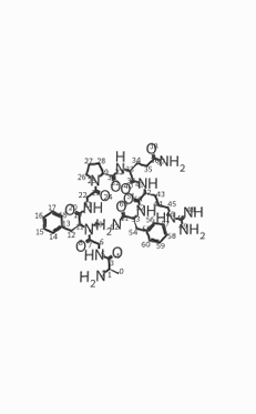 C[C@@H](N)C(=O)NCC(=O)N(C)[C@@H](Cc1ccccc1)C(=O)NCC(=O)N1CCC[C@H]1C(=O)N[C@@H](CCC(N)=O)C(=O)N[C@@H](CCCNC(=N)N)C(=O)N[C@@H](Cc1ccccc1)C(N)=O